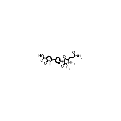 CC(=O)N(C(=O)[C@@H](N)CCC(N)=O)c1ccc(-c2ccc(C(=O)O)c(=O)[nH]2)cc1